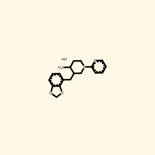 Cl.NC1CCN(c2ccccn2)CC1Cc1cccc2c1OCO2